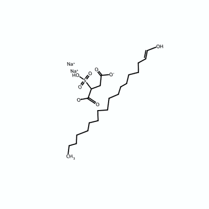 CCCCCCCCCCCCCCCCC=CO.O=C([O-])CC(C(=O)[O-])S(=O)(=O)O.[Na+].[Na+]